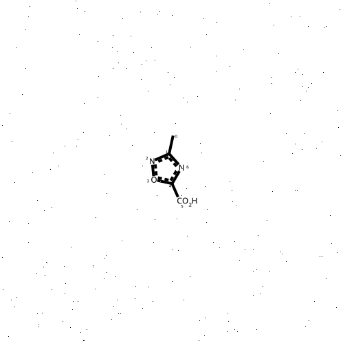 Cc1noc(C(=O)O)n1